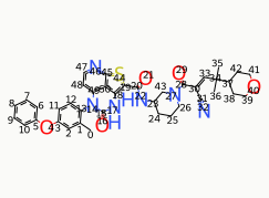 Cc1cc(Oc2ccccc2)ccc1N1C(=O)Nc2c(C(=O)NC3CCCN(C(=O)C(C#N)=CC(C)(C)C4CCOCC4)C3)sc3nccc1c23